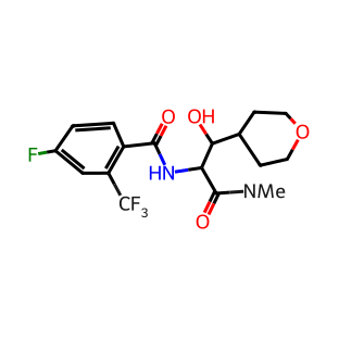 CNC(=O)C(NC(=O)c1ccc(F)cc1C(F)(F)F)C(O)C1CCOCC1